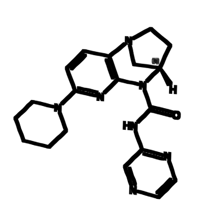 O=C(Nc1cnccn1)N1c2nc(N3CCCCC3)ccc2N2CC[C@H]1C2